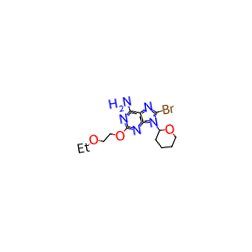 CCOCCOc1nc(N)c2nc(Br)n(C3CCCCO3)c2n1